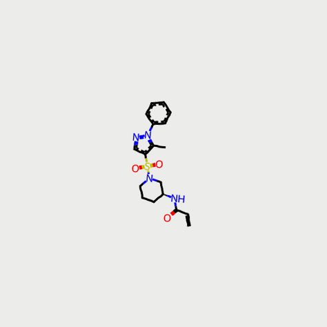 C=CC(=O)N[C@H]1CCCN(S(=O)(=O)c2cnn(-c3ccccc3)c2C)C1